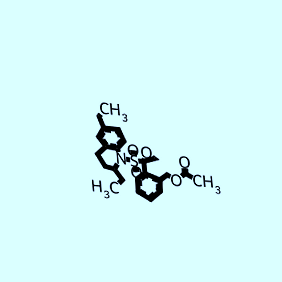 CCc1ccc2c(c1)CCC(CC)N2S(=O)(=O)C1(c2ccccc2COC(C)=O)CO1